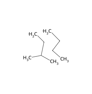 [CH2]CC(C)C.[CH2]CCC